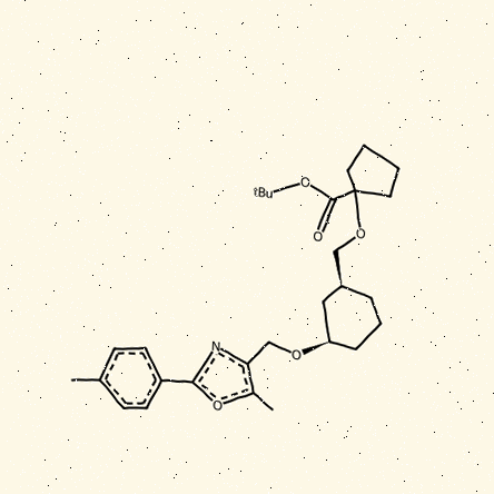 Cc1ccc(-c2nc(CO[C@@H]3CCC[C@H](COC4(C(=O)OC(C)(C)C)CCCC4)C3)c(C)o2)cc1